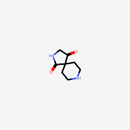 O=C1CNC(=O)C12CCNCC2